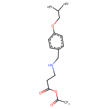 CCCC(CCC)COc1ccc(CNCCC(=O)OC(=O)C(F)(F)F)cc1